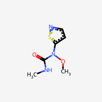 CNC(=O)N(OC)c1ccns1